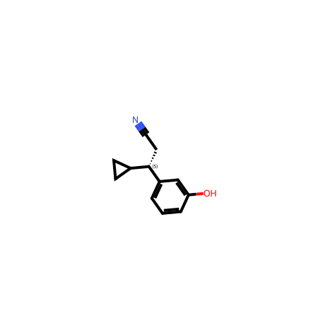 N#CC[C@H](c1cccc(O)c1)C1CC1